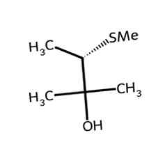 CS[C@@H](C)C(C)(C)O